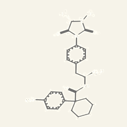 COc1ccc(C2(C(=O)N[C@@H](Cc3ccc(N4C(=O)[C@H](C)N(C)C4=O)cc3)C(=O)O)CCCCC2)cc1